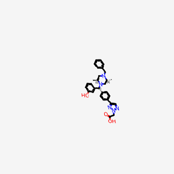 C[C@@H]1CN([C@H](c2ccc(-c3cnn(CC(=O)O)n3)cc2)c2cccc(O)c2)[C@@H](C)CN1Cc1ccccc1